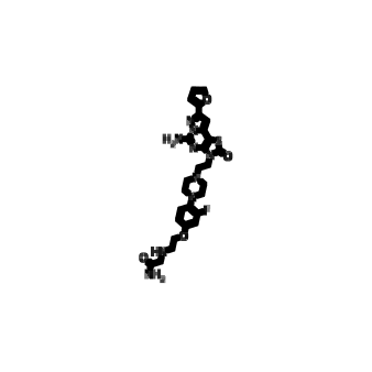 NC(=O)CNCCOc1ccc(N2CCN(CCn3c(=O)sc4c3nc(N)n3nc(-c5ccco5)cc43)CC2)c(F)c1